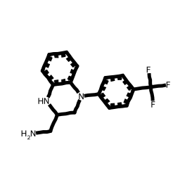 NCC1CN(c2ccc(C(F)(F)F)cc2)c2ccccc2N1